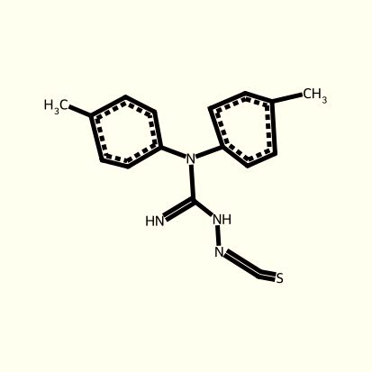 Cc1ccc(N(C(=N)NN=C=S)c2ccc(C)cc2)cc1